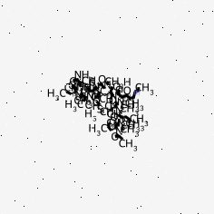 C/C=C/C[C@@H](C)[C@@H](O)[C@@H](C(=O)N[C@@H](CC)C(=O)N(C)CC(=O)N(C)[C@@H](CC(C)(C)OCSC)C(=O)N[C@H](C(=O)N(C)[C@@H](CC(C)C)C(=O)N[C@H](C)C(N)=O)C(C)C)N(C)C(=O)[C@H](C(C)C)N(C)C(=O)[C@H](CC(C)C)N(C)C(=O)[C@H](CC(C)C)N(C)C(=O)CC